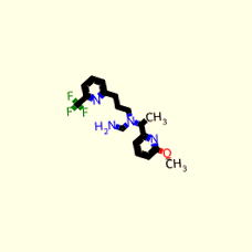 COc1cccc(C(C)N(CN)CCCc2cccc(C(F)(F)F)n2)n1